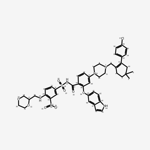 CC1(C)CCC(CN2CCN(c3ccc(C(=O)NS(=O)(=O)c4ccc(NCC5COCCO5)c([N+](=O)[O-])c4)c(Oc4ccc5[nH]ccc5c4)c3)CC2)=C(c2ccc(Cl)cc2)C1